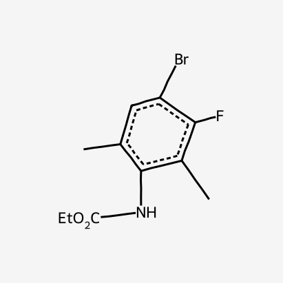 CCOC(=O)Nc1c(C)cc(Br)c(F)c1C